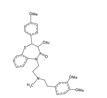 COc1ccc(C2Sc3ccccc3N(CCN(C)CCc3ccc(OC)c(OC)c3)C(=O)C2OC(C)=O)cc1